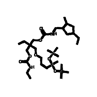 CCNC(=O)OCC(CC)(COCCC[Si](C)(O[Si](C)(C)C)O[Si](C)(C)C)COC(=O)NCC1CC(CC)CC1C